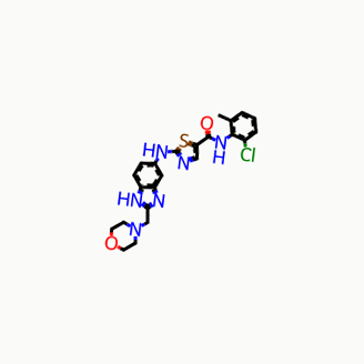 Cc1cccc(Cl)c1NC(=O)c1cnc(Nc2ccc3[nH]c(CN4CCOCC4)nc3c2)s1